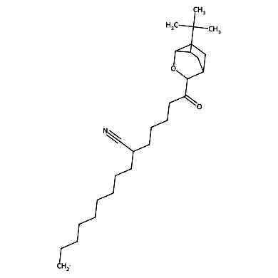 [CH2]CCCCCCCCC(C#N)CCCCC(=O)[C]1OC2CCC1CC2C(C)(C)C